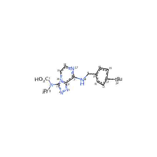 CC(C)N(C(=O)O)c1nnc2c(NCc3ccc(C(C)(C)C)cc3)nccn12